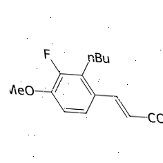 CCCCc1c(/C=C/C(=O)O)ccc(OC)c1F